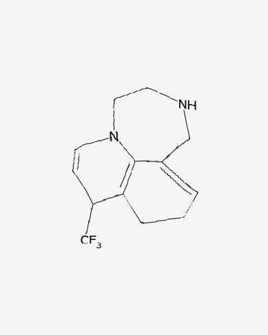 FC(F)(F)C1C=CN2CCNCC3=CCCC1=C32